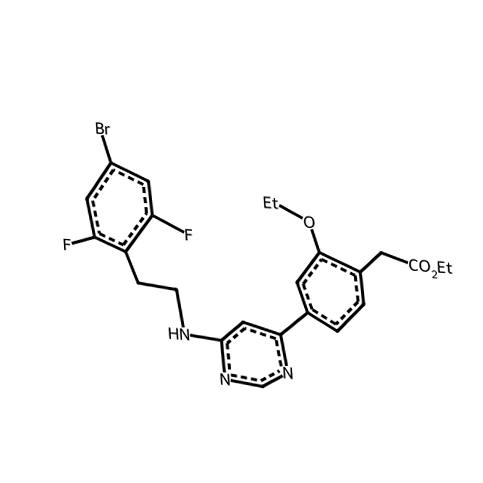 CCOC(=O)Cc1ccc(-c2cc(NCCc3c(F)cc(Br)cc3F)ncn2)cc1OCC